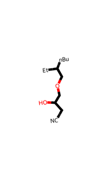 CCCCC(CC)COCC(O)CC#N